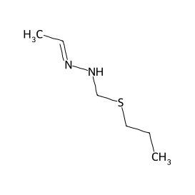 CC=NNCSCCC